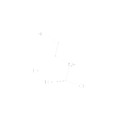 C=CCNC(C)C.Cl